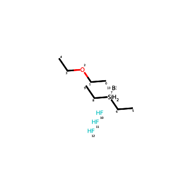 CCOCC.CC[SiH2]CC.F.F.F.[B]